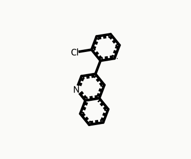 Clc1ccc[c]c1-c1cnc2ccccc2c1